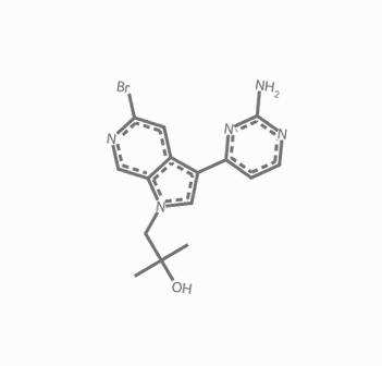 CC(C)(O)Cn1cc(-c2ccnc(N)n2)c2cc(Br)ncc21